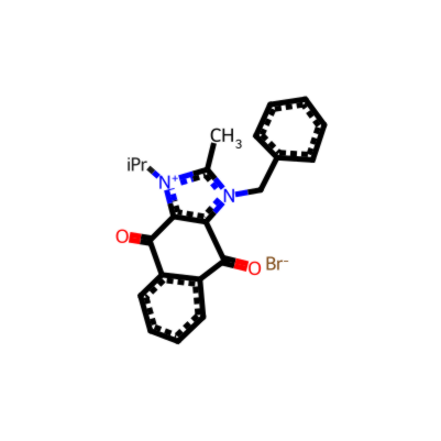 Cc1n(Cc2ccccc2)c2c([n+]1C(C)C)C(=O)c1ccccc1C2=O.[Br-]